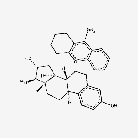 C[C@]12CC[C@@H]3c4ccc(O)cc4CC[C@H]3[C@@H]1C[C@@H](O)[C@@H]2O.Nc1c2c(nc3ccccc13)CCCC2